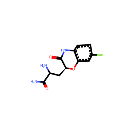 NC(=O)C(N)C[C@@H]1Oc2cc(F)ccc2NC1=O